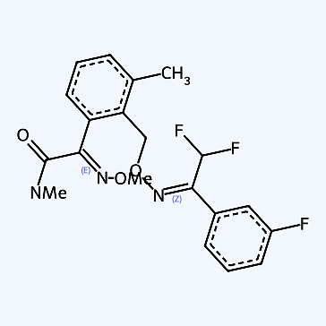 CNC(=O)/C(=N/OC)c1cccc(C)c1CO/N=C(/c1cccc(F)c1)C(F)F